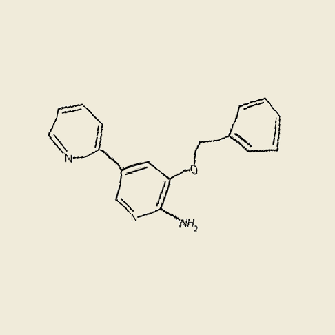 Nc1ncc(-c2ccccn2)cc1OCc1ccccc1